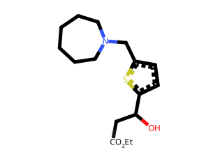 CCOC(=O)CC(O)c1ccc(CN2CCCCCC2)s1